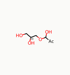 CC(=O)C(O)OC[C@@H](O)CO